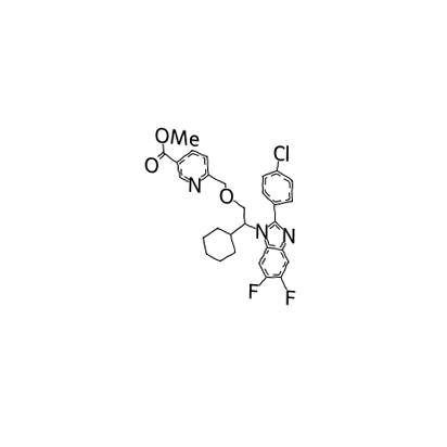 COC(=O)c1ccc(COCC(C2CCCCC2)n2c(-c3ccc(Cl)cc3)nc3cc(F)c(F)cc32)nc1